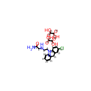 NC(=O)CNCCNc1ccc(Cl)cc1Cc1ccccc1.O=C(O)C(=O)O.O=C(O)C(=O)O